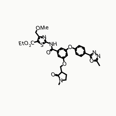 CCOC(=O)c1sc(NC(=O)c2cc(OCC3CCN(C)C3=O)cc(Oc3ccc(-c4nnc(C)o4)cc3)c2)nc1COC